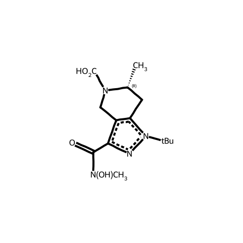 C[C@@H]1Cc2c(c(C(=O)N(C)O)nn2C(C)(C)C)CN1C(=O)O